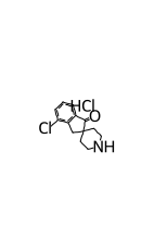 Cl.O=C1c2cccc(Cl)c2CC12CCNCC2